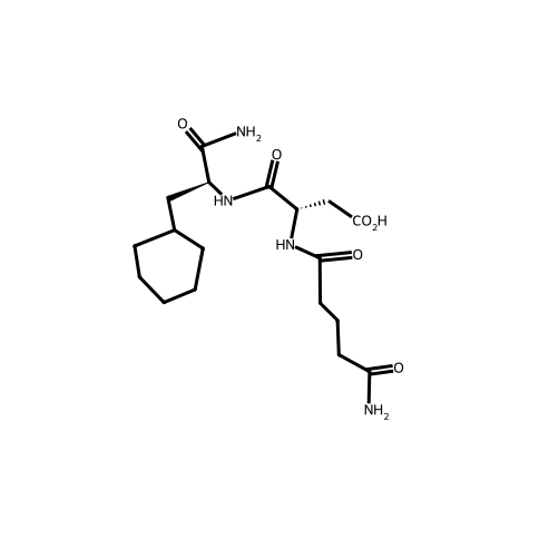 NC(=O)CCCC(=O)N[C@@H](CC(=O)O)C(=O)N[C@@H](CC1CCCCC1)C(N)=O